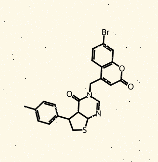 Cc1ccc(C2CSC3N=CN(Cc4cc(=O)oc5cc(Br)ccc45)C(=O)C32)cc1